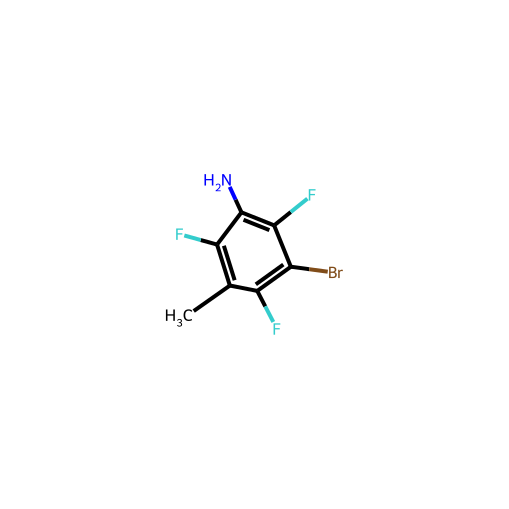 Cc1c(F)c(N)c(F)c(Br)c1F